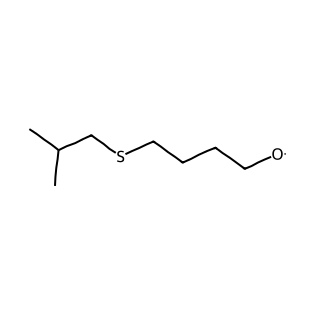 CC(C)CSCCCC[O]